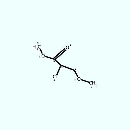 COCC(Cl)C(=O)OC